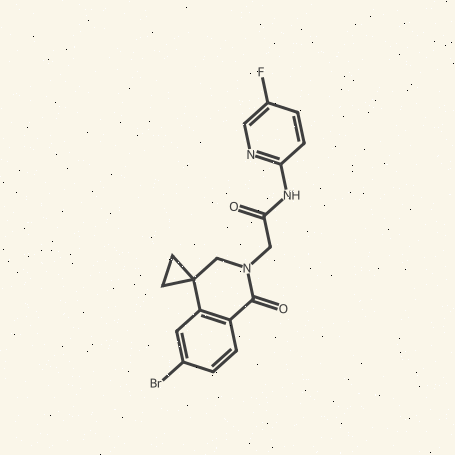 O=C(CN1CC2(CC2)c2cc(Br)ccc2C1=O)Nc1ccc(F)cn1